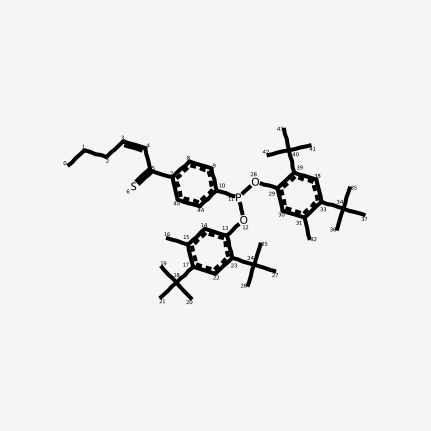 CCC/C=C\C(=S)c1ccc(P(Oc2cc(C)c(C(C)(C)C)cc2C(C)(C)C)Oc2cc(C)c(C(C)(C)C)cc2C(C)(C)C)cc1